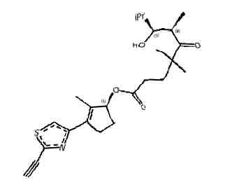 C#Cc1nc(C2=C(C)[C@@H](OC(=O)CCC(C)(C)C(=O)[C@H](C)[C@@H](O)C(C)C)CC2)cs1